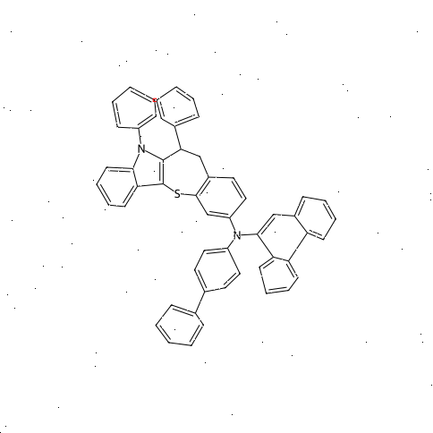 c1ccc(-c2ccc(N(c3ccc4c(c3)Sc3c(n(-c5ccccc5)c5ccccc35)C(c3ccccc3)C4)c3cc4ccccc4c4ccccc34)cc2)cc1